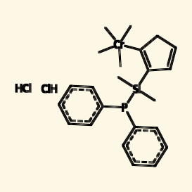 C[Si](C)(C1=[C]([Cr]([CH3])([CH3])([CH3])[CH3])CC=C1)P(c1ccccc1)c1ccccc1.Cl.Cl